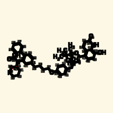 CC(C)(C)[Si](C)(C)O[C@@H](CNCc1ccc(OCCCCc2ccc(-c3ccccc3)c(N(C(=O)O)C3CN4CCC3CC4)c2)cc1)c1ccc(O)c2[nH]c(=O)ccc12